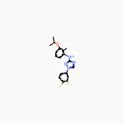 Cc1c(Nc2ncn(-c3ccc(F)c(F)c3)n2)cccc1OC(C)C